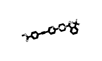 COC(=O)c1ccc(C#Cc2ccc(N3CCN(C(=O)c4ccccc4C(F)(F)F)CC3)nc2)cc1